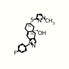 Cn1ccc(S[C@H]2CCC3=Cc4c(cnn4-c4ccc(F)cc4)C[C@]3(CO)C2)n1